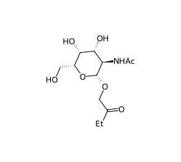 CCC(=O)CO[C@@H]1O[C@H](CO)[C@H](O)[C@H](O)[C@H]1NC(C)=O